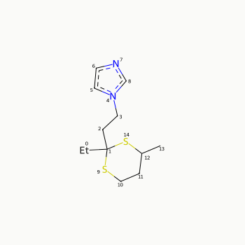 CCC1(CCn2ccnc2)SCCC(C)S1